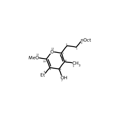 CCCCCCCCCCC1=C(C)C(O)C(CC)=C(OC)O1